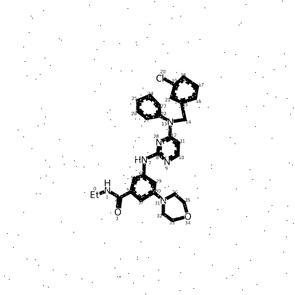 CCNC(=O)c1cc(Nc2nccc(N(Cc3cccc(Cl)c3)c3ccccc3)n2)cc(N2CCOCC2)c1